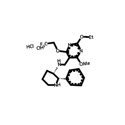 CCOc1nc(OC)c(CN[C@H]2CCCN[C@H]2c2ccccc2)c(OCC(F)(F)F)n1.Cl.Cl